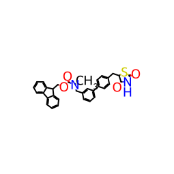 CN(Cc1cccc(-c2ccc(CC3SC(=O)NC3=O)cc2)c1)C(=O)OCC1c2ccccc2-c2ccccc21